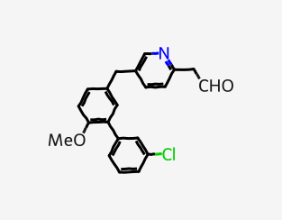 COc1ccc(Cc2ccc(CC=O)nc2)cc1-c1cccc(Cl)c1